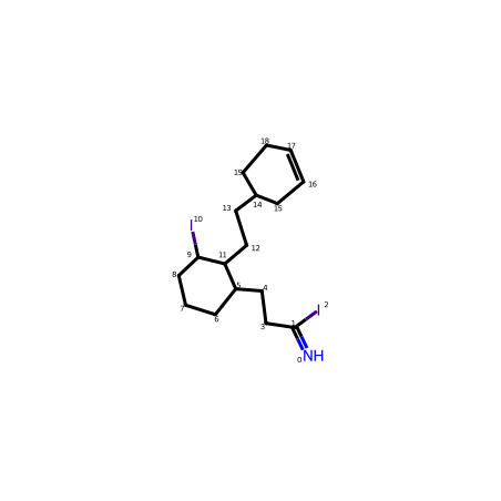 N=C(I)CCC1CCCC(I)C1CCC1CC=CCC1